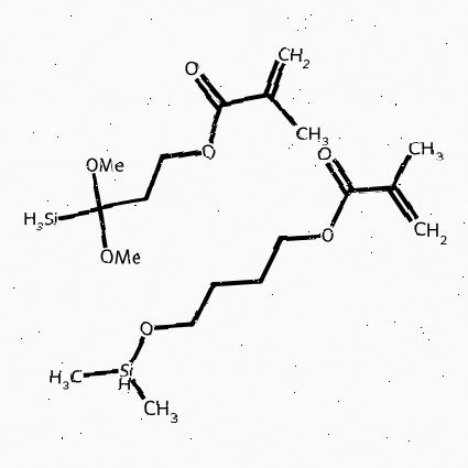 C=C(C)C(=O)OCCC([SiH3])(OC)OC.C=C(C)C(=O)OCCCCO[SiH](C)C